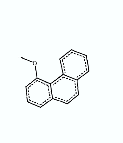 [CH2]Oc1cccc2ccc3ccccc3c12